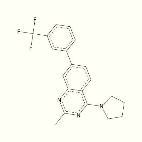 Cc1nc(N2CCCC2)c2ccc(-c3cccc(C(F)(F)F)c3)cc2n1